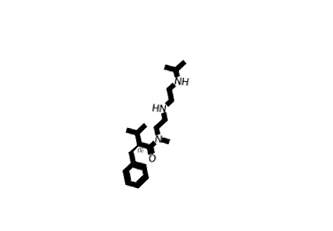 CC(C)NCCNCCN(C)C(=O)[C@@H](Cc1ccccc1)C(C)C